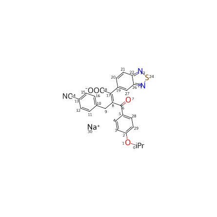 CC(C)Oc1ccc(C(=O)C(Cc2ccc(C#N)cc2)=C(C(=O)[O-])c2ccc3nsnc3c2)cc1.[Na+]